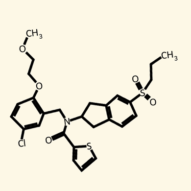 CCCS(=O)(=O)c1ccc2c(c1)CC(N(Cc1cc(Cl)ccc1OCCOC)C(=O)c1cccs1)C2